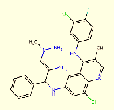 CN(N)/C=C(\N)C(Nc1cc(Cl)c2ncc(C#N)c(Nc3ccc(F)c(Cl)c3)c2c1)c1ccccc1